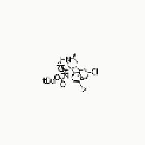 C=C1C[C@@H](C2C=C(Cl)C=CC2)[C@]2(C(=O)N(C(=O)OC(C)(C)C)c3cc(C4CC4)ccc32)[C@@H](C2(CC)CC2)N1